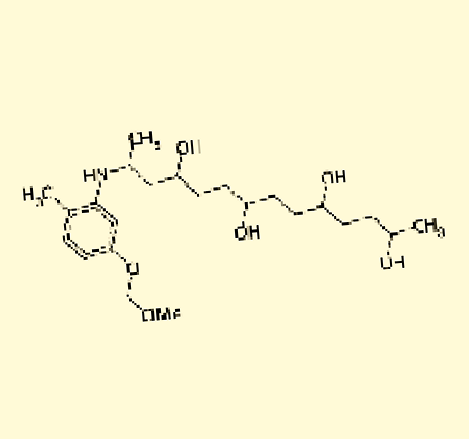 COCOc1ccc(C)c(NC(C)CC(O)CCC(O)CCC(O)CCC(C)O)c1